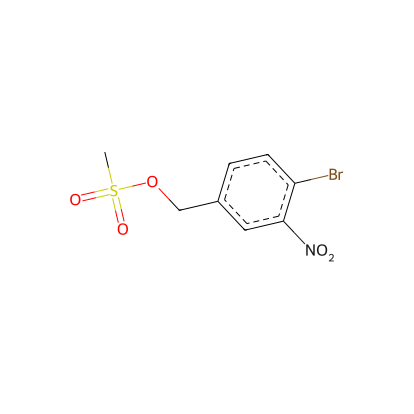 CS(=O)(=O)OCc1ccc(Br)c([N+](=O)[O-])c1